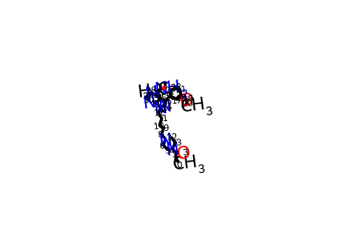 CCC(=O)N1CCN(CCCCCn2nc(-c3cc(OC)ccc3C)c3c(N)ncnc32)CC1